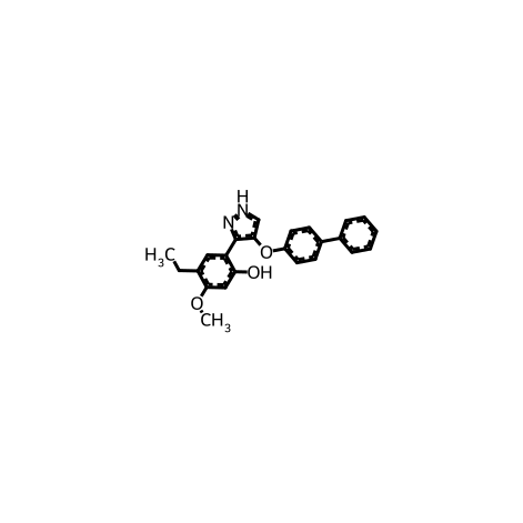 CCc1cc(-c2n[nH]cc2Oc2ccc(-c3ccccc3)cc2)c(O)cc1OC